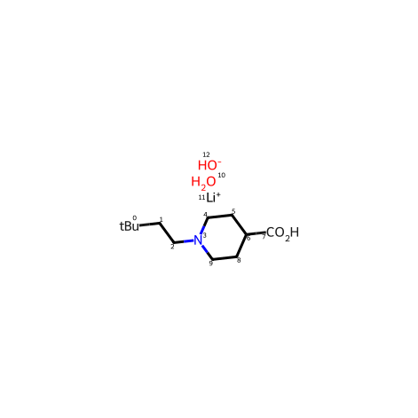 CC(C)(C)CCN1CCC(C(=O)O)CC1.O.[Li+].[OH-]